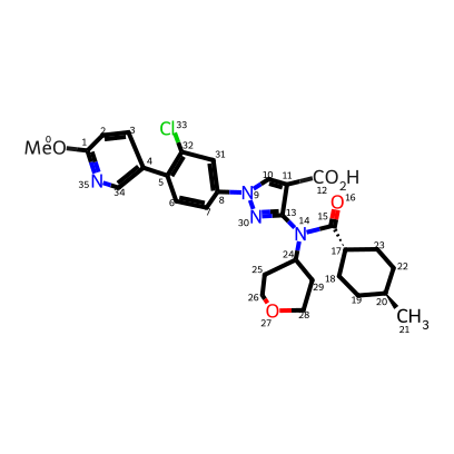 COc1ccc(-c2ccc(-n3cc(C(=O)O)c(N(C(=O)[C@H]4CC[C@H](C)CC4)C4CCOCC4)n3)cc2Cl)cn1